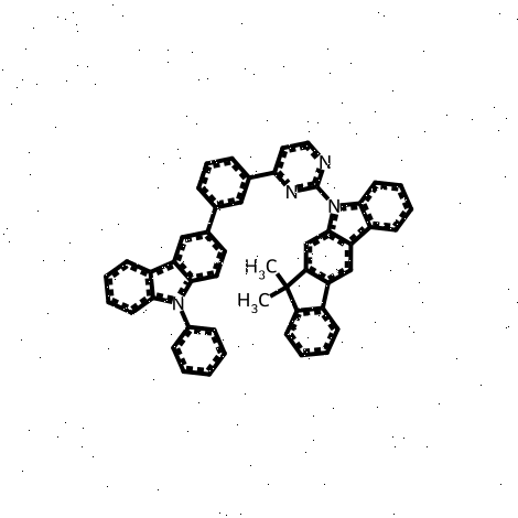 CC1(C)c2ccccc2-c2cc3c4ccccc4n(-c4nccc(-c5cccc(-c6ccc7c(c6)c6ccccc6n7-c6ccccc6)c5)n4)c3cc21